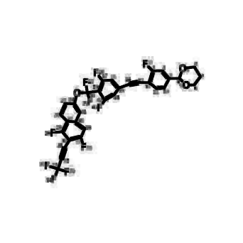 Fc1cc(C2OCCCO2)ccc1C#Cc1cc(F)c(C(F)(F)Oc2ccc3c(F)c(C#CC(F)(F)F)c(F)cc3c2)c(F)c1